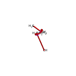 C#CC#CC#CC#CC#CC#CC#CC#CC#CC#CC#C[N+]1=C(/C=C/C=C/CC2N(CCCCCCCCCCCCCC)c3ccccc3C2(C)C)C(C)(C)c2ccccc21